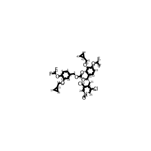 O=C(OCc1ccc(OC(F)F)c(OCC2CC2)c1)O[C@@H](Cc1c(Cl)c[n+]([O-])cc1Cl)c1ccc(OC(F)F)c(OCC2CC2)c1